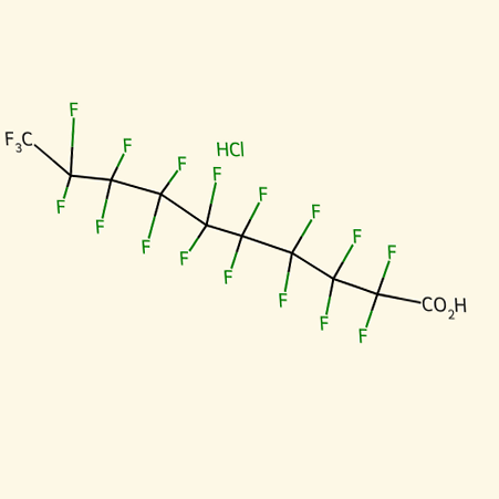 Cl.O=C(O)C(F)(F)C(F)(F)C(F)(F)C(F)(F)C(F)(F)C(F)(F)C(F)(F)C(F)(F)C(F)(F)F